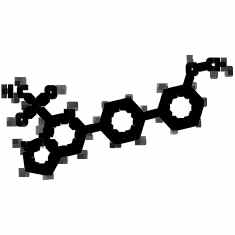 COc1cccc(-c2ccc(-c3cc4ccnn4c(S(C)(=O)=O)n3)cc2)c1